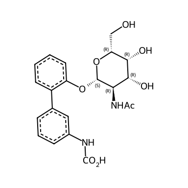 CC(=O)N[C@H]1[C@H](Oc2ccccc2-c2cccc(NC(=O)O)c2)O[C@H](CO)[C@H](O)[C@@H]1O